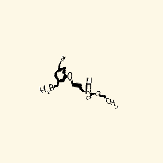 BCc1cc(CBr)cc(OCCCNC(=O)OCC=C)c1